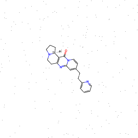 O=c1c2c(nc3cc(CCc4ccccn4)ccn13)CCN1CCC[C@@H]21